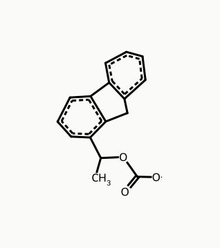 CC(OC([O])=O)c1cccc2c1Cc1ccccc1-2